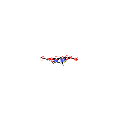 C=CC(=O)OCCCCCCOc1ccc(OC(=O)C2CCC(C(=O)Oc3ccc(-c4cc(C)c(OC(O)C5CCC(C(=O)Oc6ccc(OCCCCCCOC(=O)C=C)cc6)CC5)c(/C=N/N(CCCCCC)c5nc6ccccc6s5)c4)cc3/C=N/N(CCCCCC)c3nc4ccccc4s3)CC2)cc1